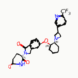 O=C1CC[C@H](N2Cc3cc(O[C@@H]4CCCC[C@H]4N4CC(c5ccc(C(F)(F)F)nc5)C4)ccc3C2=O)C(=O)N1